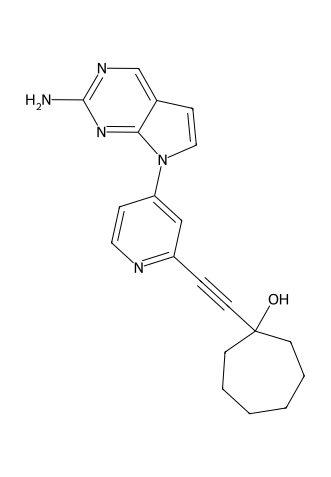 Nc1ncc2ccn(-c3ccnc(C#CC4(O)CCCCCC4)c3)c2n1